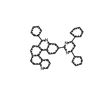 c1ccc(-c2cc(-c3ccccc3)nc(-c3ccc4c(c3)nc(-c3ccccc3)c3ccc5ccc6ncccc6c5c34)n2)cc1